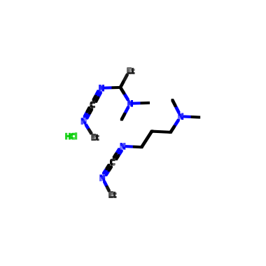 CCN=C=NC(CC)N(C)C.CCN=C=NCCCN(C)C.Cl